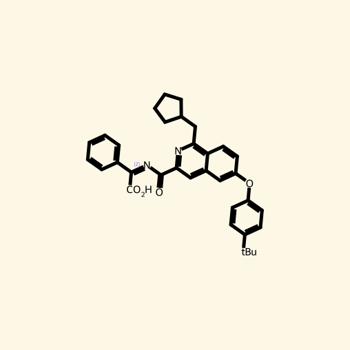 CC(C)(C)c1ccc(Oc2ccc3c(CC4CCCC4)nc(C(=O)/N=C(\C(=O)O)c4ccccc4)cc3c2)cc1